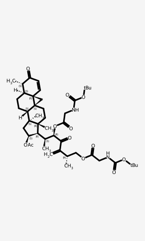 C=C(C(=O)[C@H](OC(=O)CNC(=O)OC(C)(C)C)[C@@H](C)[C@H]1[C@@H](OC(C)=O)C[C@@]2(C)[C@@H]3CC[C@H]4[C@H](C)C(=O)C=C[C@@]45C[C@@]35CC[C@]12C)[C@@H](C)COC(=O)CNC(=O)OC(C)(C)C